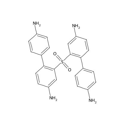 Nc1ccc(-c2ccc(N)cc2S(=O)(=O)c2cc(N)ccc2-c2ccc(N)cc2)cc1